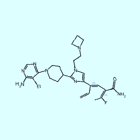 C=C/C(=C\C(C(N)=O)=C(/C)F)c1cn(CCN2CCC2)c(C2CCN(c3ncnc(N)c3CC)CC2)n1